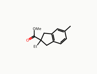 CCC1(C(=O)OC)Cc2ccc(C)cc2C1